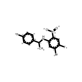 CC(Nc1cc(Br)c(F)cc1[N+](=O)[O-])c1ccc(F)cc1